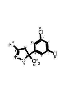 CC(C)C1=NOC(c2cc(Cl)cc(Cl)c2)(C(F)(F)F)C1